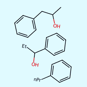 CC(O)Cc1ccccc1.CCC(O)c1ccccc1.CCCc1ccccc1